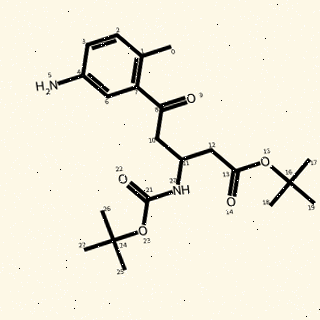 Cc1ccc(N)cc1C(=O)CC(CC(=O)OC(C)(C)C)NC(=O)OC(C)(C)C